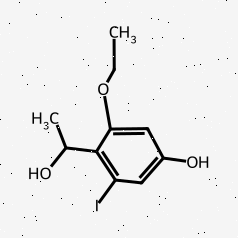 CCOc1cc(O)cc(I)c1C(C)O